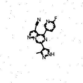 Cc1n[nH]cc1-c1cn2ncc(C#N)c2c(-c2ccc(F)nc2)n1